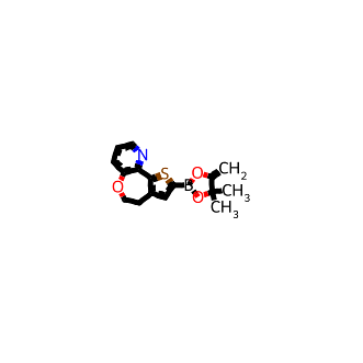 C=C1OB(c2cc3c(s2)-c2ncccc2OCC3)OC1(C)C